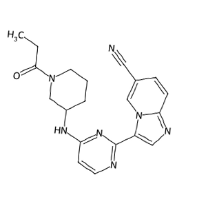 CCC(=O)N1CCCC(Nc2ccnc(-c3cnc4ccc(C#N)cn34)n2)C1